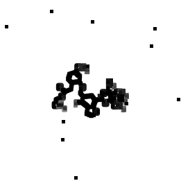 CCOC(=O)Cc1ccc(C)cc1OCc1cc(B2OC(C)(C)C(C)(C)O2)c2occc2c1F